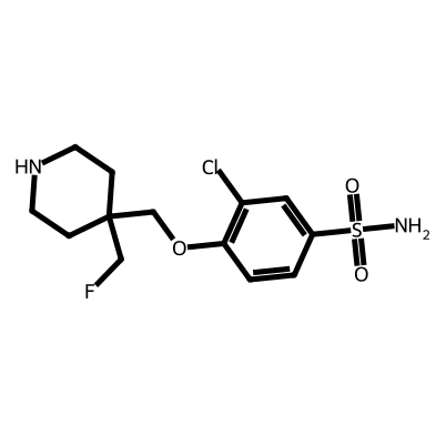 NS(=O)(=O)c1ccc(OCC2(CF)CCNCC2)c(Cl)c1